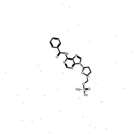 O=C(Nc1ncnc2c1ncn2[C@H]1CC[C@@H](CO[P@](=O)(O)S)O1)c1ccccc1